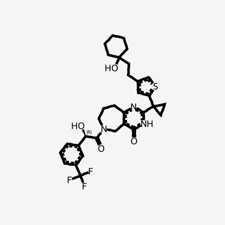 O=C([C@H](O)c1cccc(C(F)(F)F)c1)N1CCCc2nc(C3(c4cc(CCC5(O)CCCCC5)cs4)CC3)[nH]c(=O)c2C1